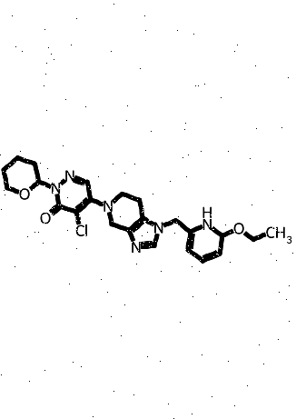 CCOC1C=CC=C(Cn2cnc3c2CCN(c2cnn(C4CCCCO4)c(=O)c2Cl)C3)N1